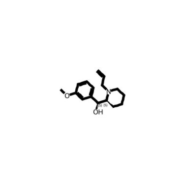 C=CCN1CCCC[C@H]1[C@@H](O)c1cccc(OC)c1